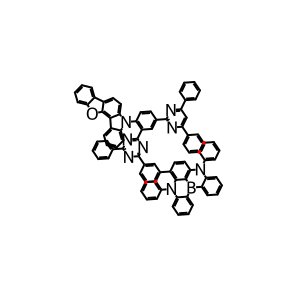 c1ccc(-c2cc(-c3ccccc3)nc(-c3ccc(-n4c5ccccc5c5c6oc7ccccc7c6ccc54)c(-c4nc(-c5ccccc5)nc(-c5cccc(-c6ccc7c8c6N(c6ccccc6)c6ccccc6B8c6ccccc6N7c6ccccc6)c5)n4)c3)n2)cc1